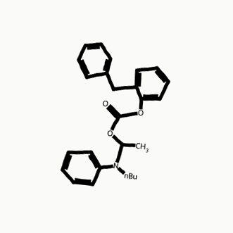 CCCCN(c1ccccc1)C(C)OC(=O)Oc1ccccc1Cc1ccccc1